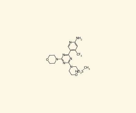 CS(=O)(=O)O.Nc1cc(C(F)(F)F)c(-c2nc(N3CCOCC3)nc(N3CCOCC3)n2)cn1